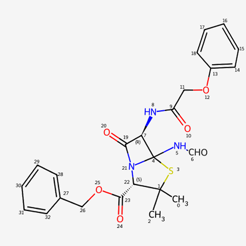 CC1(C)SC2(NC=O)[C@H](NC(=O)COc3ccccc3)C(=O)N2[C@H]1C(=O)OCc1ccccc1